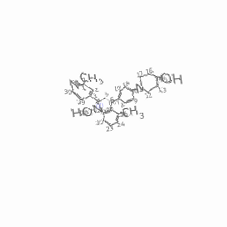 Cc1cc(/C(C[C@H](c2ccc(N3CCC(O)CC3)cc2)c2ccccc2C)=N\O)ccn1